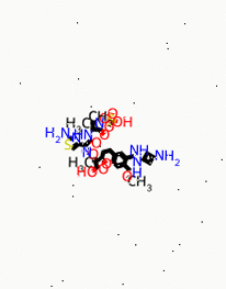 COCc1cc2c(cc1C(=N)N[C@H]1C[C@@H](N)C1)CCC([C@](C)(O/N=C(\C(=O)N[C@@H]1C(=O)N(OS(=O)(=O)O)C1(C)C)c1csc(N)n1)C(=O)O)O2